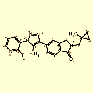 Cc1c(-c2ccc3c(c2)CN(CC2(C)CC2)C3=O)nnn1-c1cccnc1F